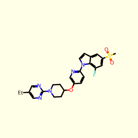 CCc1cnc(N2CCC(Oc3ccc(-n4ccc5cc(S(C)(=O)=O)cc(F)c54)nc3)CC2)nc1